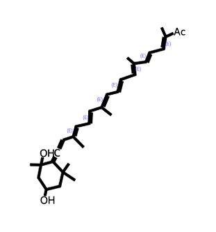 CC(=O)/C(C)=C/C=C/C(C)=C/C=C/C=C(C)/C=C/C=C(\C)C=C=C1C(C)(C)CC(O)CC1(C)O